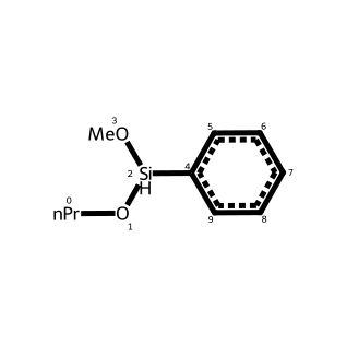 CCCO[SiH](OC)c1ccccc1